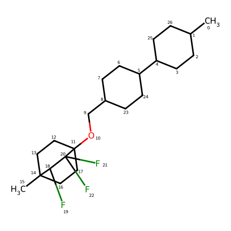 CC1CCC(C2CCC(COC34CCC(C)(CC3)C(F)C4(F)F)CC2)CC1